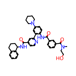 CN(CCO)C(=O)c1cccc(C(=O)Nc2ccc(N3CCCCC3)cc2-c2cc(C(=O)NC3CCCc4ccccc43)ccn2)c1